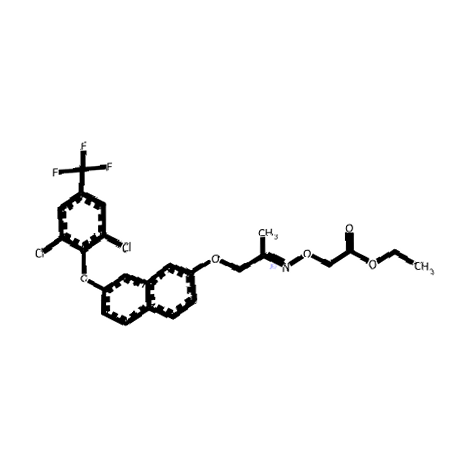 CCOC(=O)CO/N=C(\C)COc1ccc2ccc(Oc3c(Cl)cc(C(F)(F)F)cc3Cl)cc2c1